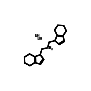 C1=CC(C[SiH2]CC2C=CC3=C2CCCC3)C2=C1CCCC2.[LiH].[LiH]